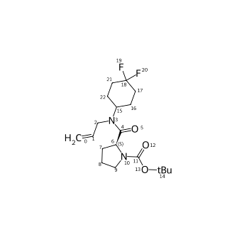 C=CCN(C(=O)[C@@H]1CCCN1C(=O)OC(C)(C)C)C1CCC(F)(F)CC1